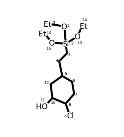 CCO[Si](CCC1CCC(Cl)C(O)C1)(OCC)OCC